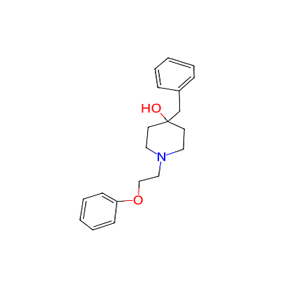 OC1(Cc2ccccc2)CCN(CCOc2ccccc2)CC1